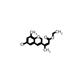 CCOC(=O)/C=C(/C)C1=Cc2cc(Cl)cc(C)c2OC1